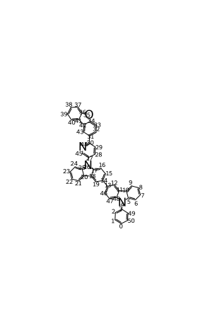 c1ccc(-n2c3ccccc3c3cc(-c4ccc5c(c4)c4ccccc4n5-c4ccc(-c5ccc6oc7ccccc7c6c5)nc4)ccc32)cc1